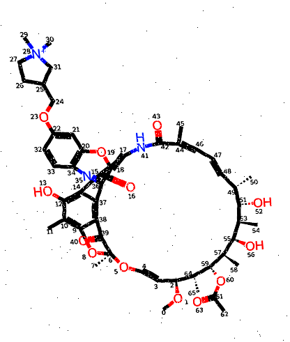 CO[C@H]1/C=C/O[C@@]2(C)Oc3c(C)c(O)c4c(=O)c(c5oc6cc(OCC7CC[N+](C)(C)C7)ccc6nc-5c4c3C2=O)NC(=O)/C(C)=C\C=C\[C@H](C)[C@H](O)[C@@H](C)[C@@H](O)[C@@H](C)[C@H](OC(C)=O)[C@@H]1C